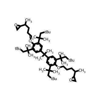 CC(CCCOc1c(C(C)(C)CC(C)(C)C)cc(C(C)(C)c2cc(C(C)(C)CC(C)(C)C)c(OCCCC(C)C3CO3)c(C(C)(C)CC(C)(C)C)c2)cc1C(C)(C)CC(C)(C)C)C1CO1